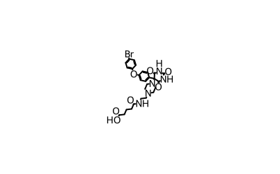 O=C(O)CCCC(=O)NCCN1CCN(C2(c3ccc(Oc4ccc(Br)cc4)cc3)C(=O)NC(=O)NC2=O)CC1